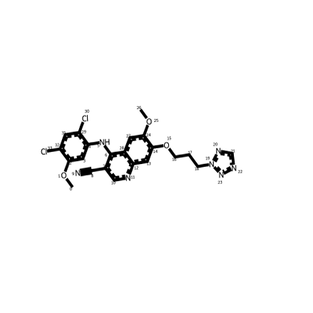 COc1cc(Nc2c(C#N)cnc3cc(OCCCn4ncnn4)c(OC)cc23)c(Cl)cc1Cl